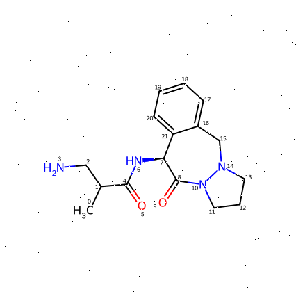 CC(CN)C(=O)N[C@@H]1C(=O)N2CCCN2Cc2ccccc21